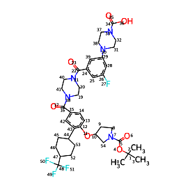 CC(C)(C)OC(=O)N1CCC(Oc2ccc(C(=O)N3CCN(C(=O)c4cc(F)cc(N5CCN(C(=O)O)CC5)c4)CC3)cc2C2CCC(C(F)(F)F)CC2)C1